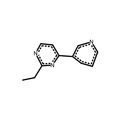 CCc1nccc(-c2cccnc2)n1